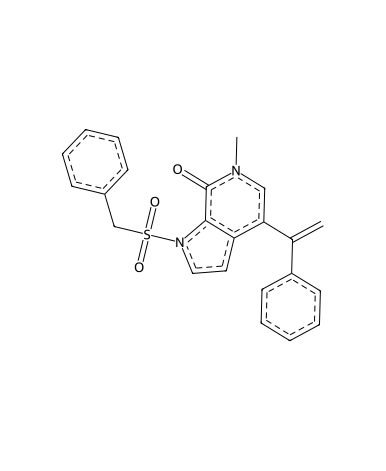 C=C(c1ccccc1)c1cn(C)c(=O)c2c1ccn2S(=O)(=O)Cc1ccccc1